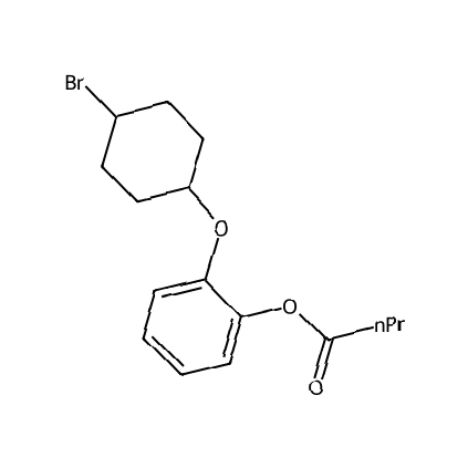 CCCC(=O)Oc1ccccc1OC1CCC(Br)CC1